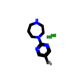 Cl.Cl.FC(F)(F)c1cnc(N2CCCNCC2)nc1